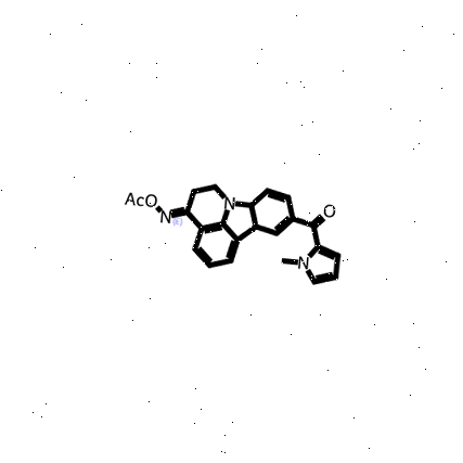 CC(=O)O/N=C1\CCN2c3c1cccc3C1C=C(C(=O)c3cccn3C)C=CC12